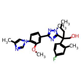 CCCC(CO)(c1ccc(F)cc1C)c1nc(-c2ccc(-n3cnc(C)c3)c(OC)c2)nn1C